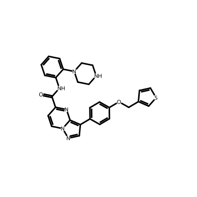 O=C(Nc1ccccc1N1CCNCC1)c1ccn2ncc(-c3ccc(OCc4ccsc4)cc3)c2n1